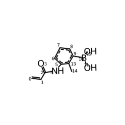 C=CC(=O)Nc1cccc(B(O)O)c1C